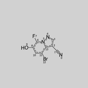 N#Cc1cnn2c(F)c(O)cc(Br)c12